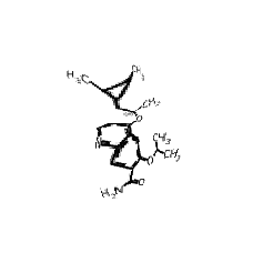 CC(C)Oc1cc2c(O[C@H](C)CC3C(C)C3C)ccnc2cc1C(N)=O